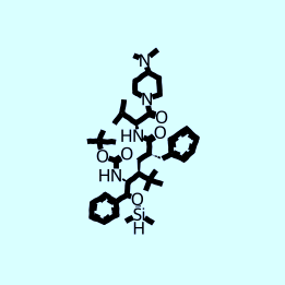 CC(C)[C@H](NC(=O)[C@H](Cc1ccccc1)C[C@H]([C@@H](NC(=O)OC(C)(C)C)C(O[SiH](C)C)c1ccccc1)C(C)(C)C)C(=O)N1CCC(N(C)C)CC1